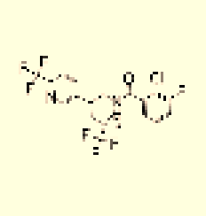 O=C(NCC(CC1(C(F)(F)F)CC1)c1ccc(C(F)(F)F)nc1)c1cccc(F)c1Cl